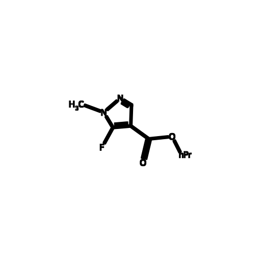 CCCOC(=O)c1cnn(C)c1F